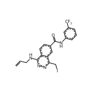 C=CCNc1nnc(CI)c2cc(C(=O)Nc3cccc(C(F)(F)F)c3)ccc12